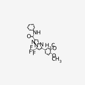 COc1ccc(-c2cc(C(F)(F)F)n3nc(C(=O)Nc4ccccc4)cc3n2)cc1OC